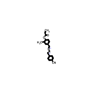 C=CC(=O)Oc1ccc(/C=N/N=C/c2ccc(C#N)cc2)cc1C